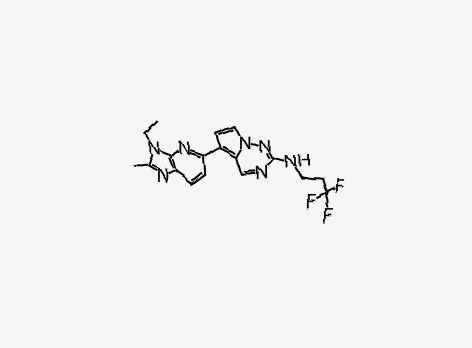 CCn1c(C)nc2ccc(-c3ccn4nc(NCCC(F)(F)F)ncc34)nc21